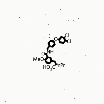 CCC[C@@H](Cc1ccc(OC)c(C(=O)NCc2ccc(Oc3ccc(Cl)c(Cl)c3)cc2)c1)C(=O)O